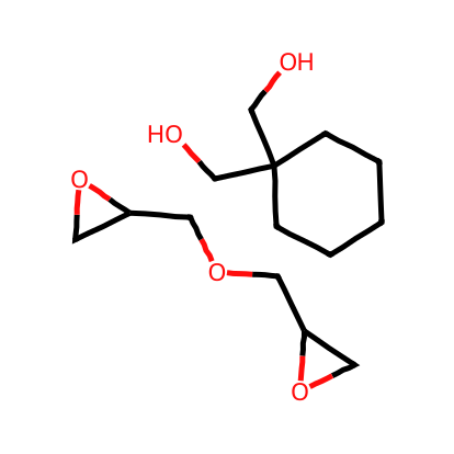 C(OCC1CO1)C1CO1.OCC1(CO)CCCCC1